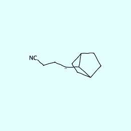 N#CCC[C]C1C2CCC1CC2